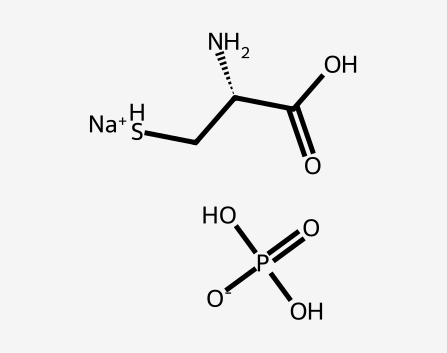 N[C@@H](CS)C(=O)O.O=P([O-])(O)O.[Na+]